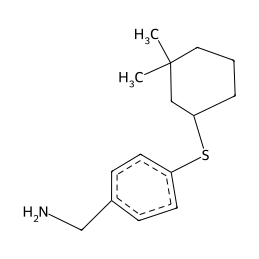 CC1(C)CCCC(Sc2ccc(CN)cc2)C1